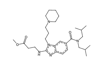 COC(=O)CCNc1nc2ccc(C(=O)N(CC(C)C)CC(C)C)cc2n1CCCN1CCCCC1